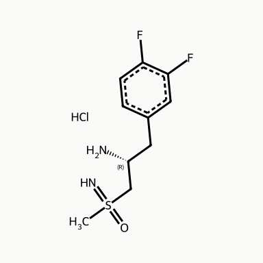 CS(=N)(=O)C[C@H](N)Cc1ccc(F)c(F)c1.Cl